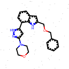 c1ccc(COCc2cc3cccc(-c4cc(N5CCOCC5)n[nH]4)c3[nH]2)cc1